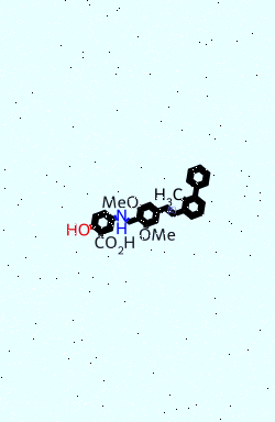 COc1cc(/C=C/c2cccc(-c3ccccc3)c2C)cc(OC)c1CNc1ccc(O)c(C(=O)O)c1